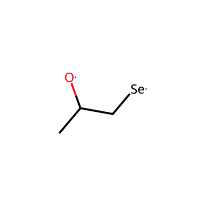 CC([O])C[Se]